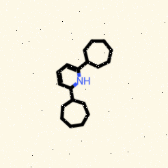 [C]1=CC=C(C2CCCCCC2)NC1C1CCCCCC1